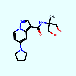 CC(CO)(CO)NC(=O)c1cnn2ccc(N3CCCC3)cc12